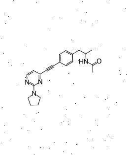 CC(=O)NC(C)Cc1ccc(C#Cc2ccnc(N3CCCC3)n2)cc1